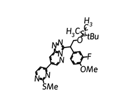 COc1ccc(C(CO[Si](C)(C)C(C)(C)C)c2nnc3cc(-c4ccnc(SC)n4)cnn23)cc1F